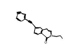 CCCN1CCc2cc(C#Cc3ccccc3)ccc2C1=O